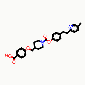 Cc1ccc(CCc2ccc(OC(=O)N3CCC(COc4ccc(C(=O)O)cc4)CC3)cc2)nc1